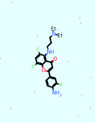 CCN(CC)CCCNc1c(F)cc(F)c2oc(-c3ccc(N)c(F)c3)cc(=O)c12